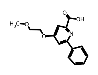 COCCOc1cc(C(=O)O)nc(-c2ccccc2)c1